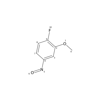 COc1cc(N=O)ccc1F